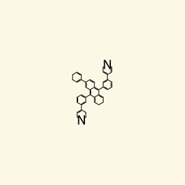 C1=CC(c2ccc3c(-c4cccc(-c5ccncc5)c4)c4c(c(-c5cccc(C6=CC=NCC6)c5)c3c2)=CCCC=4)=CCC1